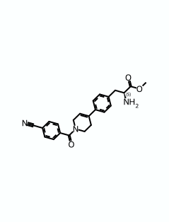 COC(=O)[C@@H](N)Cc1ccc(C2=CCN(C(=O)c3ccc(C#N)cc3)CC2)cc1